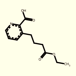 CCOC(=O)CCCc1cccnc1C(=O)O